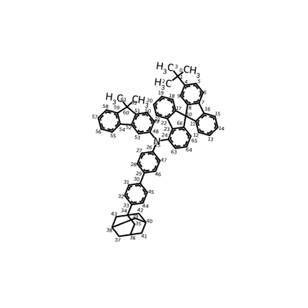 CC(C)(C)c1ccc2c(c1)C1(c3ccccc3-2)c2ccccc2-c2c(N(c3ccc(-c4ccc(C56CC7CC(CC(C7)C5)C6)cc4)cc3)c3ccc4c(c3)-c3ccccc3C4(C)C)cccc21